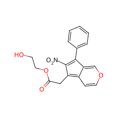 O=C(Cc1c2ccocc-2c(-c2ccccc2)c1[N+](=O)[O-])OCCO